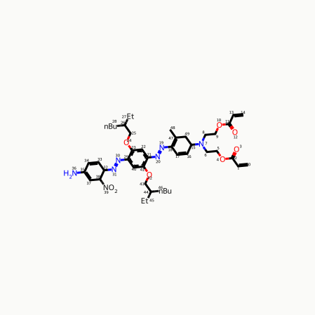 C=CC(=O)OCCN(CCOC(=O)C=C)C1C=CC(/N=N/c2cc(OCC(CC)CCCC)c(/N=N/C3C=CC(N)=CC3[N+](=O)[O-])cc2OCC(CC)CCCC)=C(C)C1